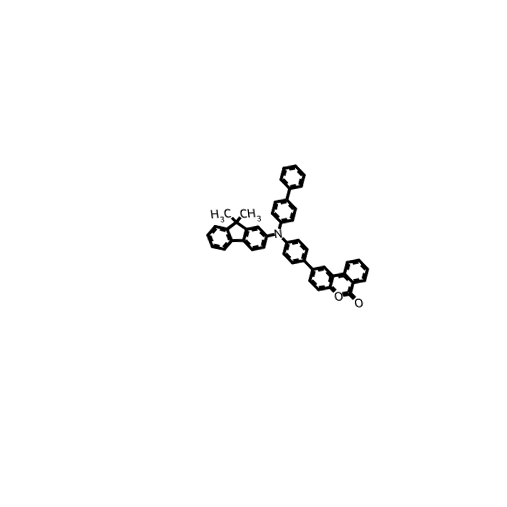 CC1(C)c2ccccc2-c2ccc(N(c3ccc(-c4ccccc4)cc3)c3ccc(-c4ccc5oc(=O)c6ccccc6c5c4)cc3)cc21